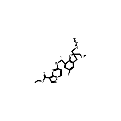 CCOC(=O)c1cnn2ccc(N[C@H](C)c3cc(F)cc4c3OC(CN=[N+]=[N-])(COC)C4)nc12